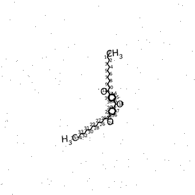 CCCCCCCCCCCC(=O)c1ccc(C(=O)c2ccc(C(=O)CCCCCCCCCCC)cc2)cc1